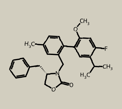 COc1cc(F)c(C(C)C)cc1-c1ccc(C)cc1CN1C(=O)OC[C@@H]1Cc1ccccc1